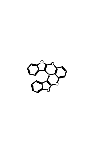 c1cc2c3c(c1)Oc1oc4ccccc4c1B3c1c(oc3ccccc13)O2